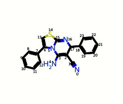 N#CC1=C(N)N2C(c3ccccc3)=CSC2=NC1c1ccccc1